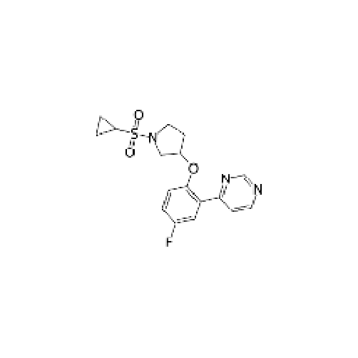 O=S(=O)(C1CC1)N1CCC(Oc2ccc(F)cc2-c2ccncn2)C1